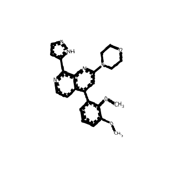 COc1cccc(-c2cc(N3CCOCC3)nc3c(-c4ccn[nH]4)nccc23)c1OC